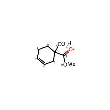 COC(=O)C1(C(=O)O)CC=CCC1